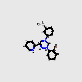 O=Cc1cccc(N2CC(c3ccccn3)=NN(c3ccccc3Br)C2)c1